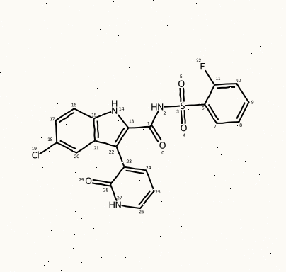 O=C(NS(=O)(=O)c1ccccc1F)c1[nH]c2ccc(Cl)cc2c1-c1ccc[nH]c1=O